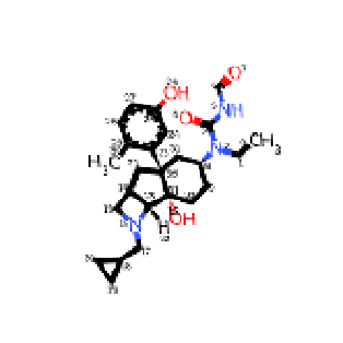 CCN(C(=O)NC=O)[C@H]1CC[C@@]2(O)[C@H]3C(CN3CC3CC3)C[C@]2(c2cc(O)ccc2C)C1